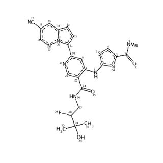 CNC(=O)c1csc(Nc2cc(-c3ccc4cc(C#N)cnn34)ncc2C(=O)NCC(F)C(C)(C)O)n1